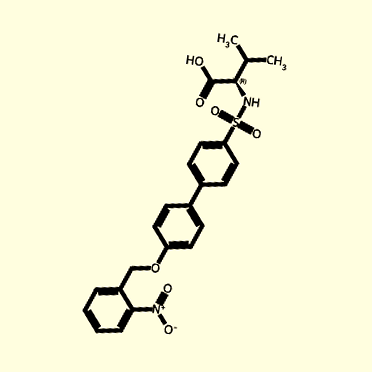 CC(C)[C@@H](NS(=O)(=O)c1ccc(-c2ccc(OCc3ccccc3[N+](=O)[O-])cc2)cc1)C(=O)O